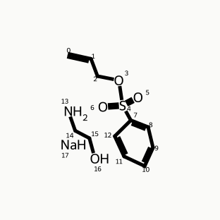 C=CCOS(=O)(=O)c1ccccc1.NCCO.[NaH]